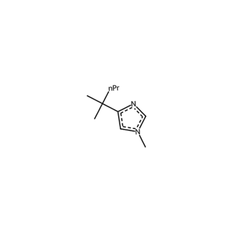 CCCC(C)(C)c1cn(C)cn1